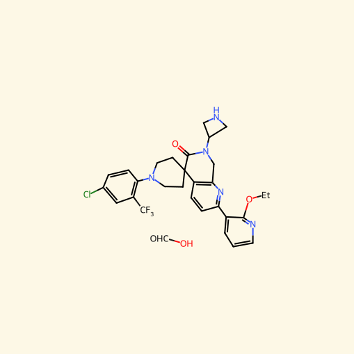 CCOc1ncccc1-c1ccc2c(n1)CN(C1CNC1)C(=O)C21CCN(c2ccc(Cl)cc2C(F)(F)F)CC1.O=CO